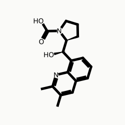 Cc1cc2cccc([C@@H](O)[C@@H]3CCCN3C(=O)O)c2nc1C